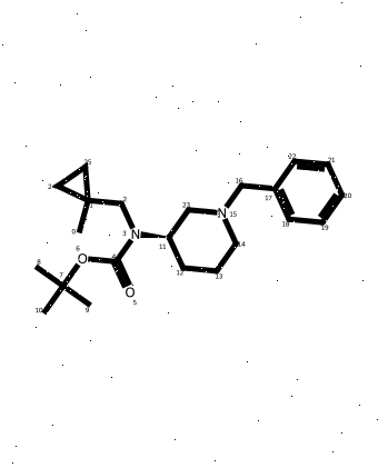 CC1(CN(C(=O)OC(C)(C)C)[C@@H]2CCCN(Cc3ccccc3)C2)CC1